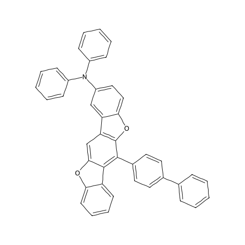 c1ccc(-c2ccc(-c3c4oc5ccc(N(c6ccccc6)c6ccccc6)cc5c4cc4oc5ccccc5c34)cc2)cc1